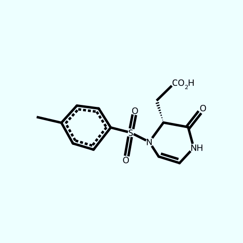 Cc1ccc(S(=O)(=O)N2C=CNC(=O)[C@H]2CC(=O)O)cc1